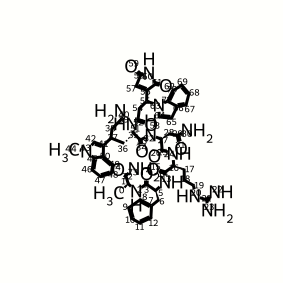 C[C@H](NC(=O)[C@H](Cc1ccccc1)NC(=O)[C@H](CCCNC(=N)N)NC(=O)[C@H](CC(N)=O)NC(=O)[C@H](CC(CCN)c1cn(C)c2ccccc12)NC(=O)CC(C1=CC(=O)NC1=O)n1ccc2ccccc21)C(N)=O